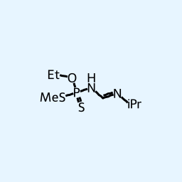 CCOP(=S)(NC=NC(C)C)SC